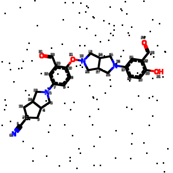 N#CB1CC2CN(c3ccc(ON4CC5CN(c6ccc(O)c(C=O)c6)CC5C4)c(C=O)c3)CC2C1